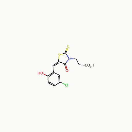 O=C(O)CCN1C(=O)/C(=C\c2cc(Cl)ccc2O)SC1=S